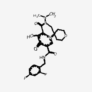 CN(C)N1CC2(CCOCC2)n2cc(C(=O)NCc3ccc(F)cc3F)c(=O)c(O)c2C1=O